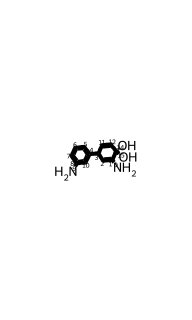 NC1=CC(c2cccc(N)c2)C=CC1(O)O